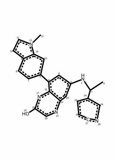 CC(Nc1cc(-c2ccc3ccn(C)c3c2)c2nc(O)cnc2c1)c1cccnc1